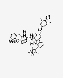 COC(=O)[C@H](Cc1ccccc1)NC(=O)CNC(=O)c1[nH]c2c(-c3c(C)nn(C)c3C)cccc2c1CCCOc1cc(C)c(Cl)c(C)c1